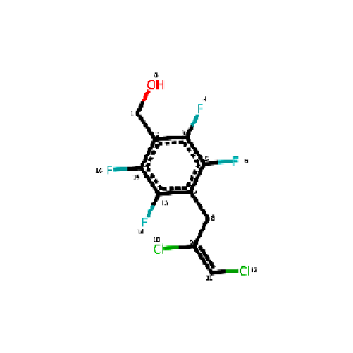 OCc1c(F)c(F)c(C/C(Cl)=C\Cl)c(F)c1F